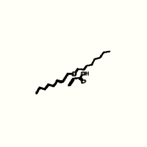 C=CC(=O)O.CCCCCCCCOCCCCCCCC